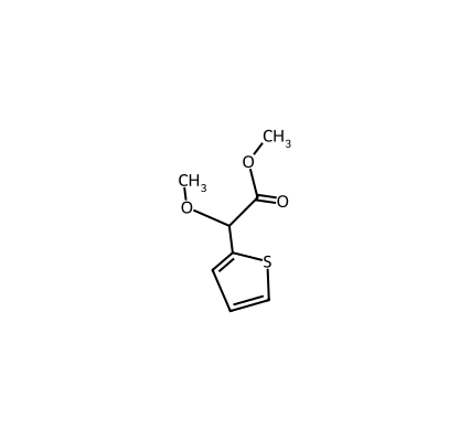 COC(=O)C(OC)c1cccs1